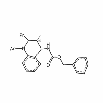 CC(=O)N1c2ccccc2C(NC(=O)OCc2ccccc2)[C@@H](C)C1C(C)C